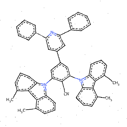 Cc1cccc2c1c1c(C)cccc1n2-c1cc(-c2cc(-c3ccccc3)nc(-c3ccccc3)c2)cc(-n2c3cccc(C)c3c3c(C)cccc32)c1C#N